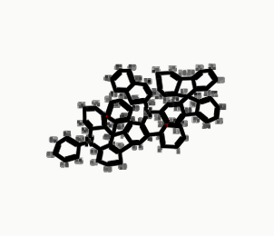 c1ccc(-c2cc3c(cc2N(c2ccc4c(c2)C2(c5ccccc5-c5ccccc52)c2ccccc2-4)c2ccc4ccccc4c2)C2(c4ccccc4)c4ccccc4N(c4ccccc4)c4cccc-3c42)cc1